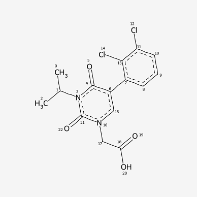 CC(C)n1c(=O)c(-c2cccc(Cl)c2Cl)cn(CC(=O)O)c1=O